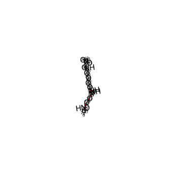 Cc1ccc(NC(=O)CCOCCOCCN2C=C(COCCOCCOCCOCCNC(=O)CCN3C(=O)C=CC3=O)NN2)cc1